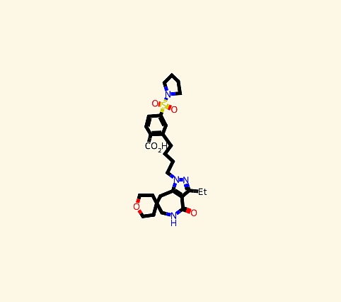 CCc1nn(CCCCc2cc(S(=O)(=O)N3CCCC3)ccc2C(=O)O)c2c1C(=O)NCC1(CCOCC1)C2